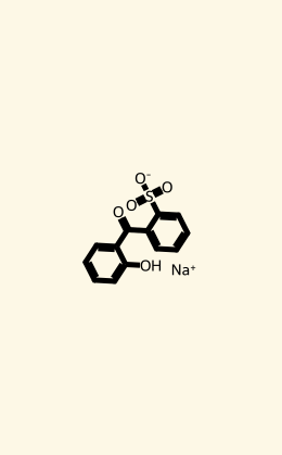 O=C(c1ccccc1O)c1ccccc1S(=O)(=O)[O-].[Na+]